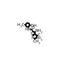 Cc1ccc(O)c(NC(=O)c2sc3nc(C)cc(C)c3c2N)c1